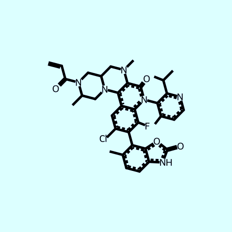 C=CC(=O)N1CC2CN(C)c3c(c4cc(Cl)c(-c5c(C)ccc6[nH]c(=O)oc56)c(F)c4n(-c4c(C)ccnc4C(C)C)c3=O)N2CC1C